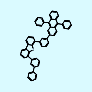 c1ccc(-c2cccc(-c3cccc4c3sc3c(-c5cccc(-c6ccc7c(-c8ccccc8)c8ccccc8c(-c8ccccc8)c7c6)c5)cccc34)c2)cc1